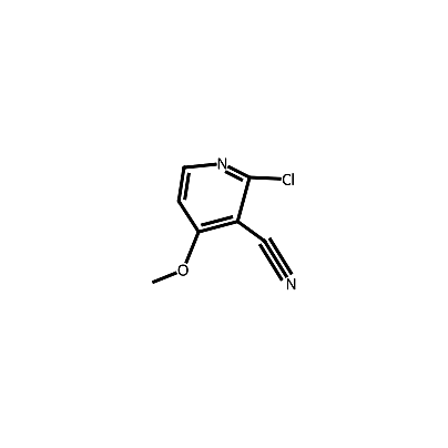 COc1ccnc(Cl)c1C#N